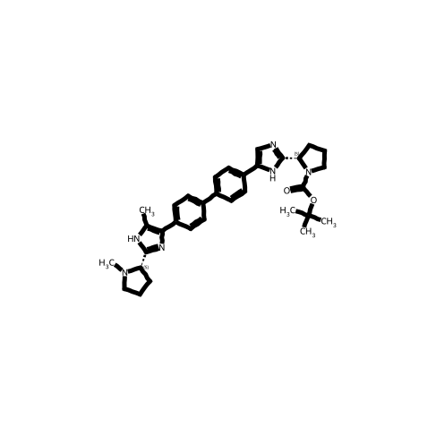 Cc1[nH]c([C@@H]2CCCN2C)nc1-c1ccc(-c2ccc(-c3cnc([C@@H]4CCCN4C(=O)OC(C)(C)C)[nH]3)cc2)cc1